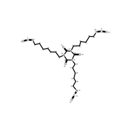 O=C=NCCCCCCCn1c(=O)n(CCCCCCN=C=O)c(=O)n(CCCCCCN=C=O)c1=O